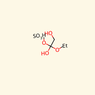 CCOC(O)(CO)OS(=O)(=O)O